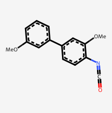 COc1cccc(-c2ccc(N=C=O)c(OC)c2)c1